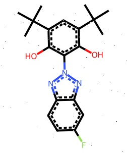 CC(C)(C)c1cc(C(C)(C)C)c(O)c(-n2nc3ccc(F)cc3n2)c1O